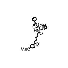 COc1ccc(C(=O)CCCCCC(=O)N[C@H](CN2CCCC2)[C@@H](O)C2=COC=C(C3=CC=CCC3)O2)cc1